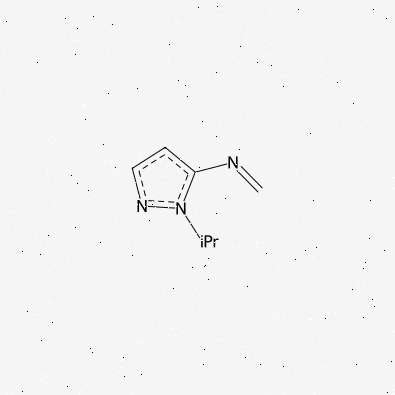 C=Nc1ccnn1C(C)C